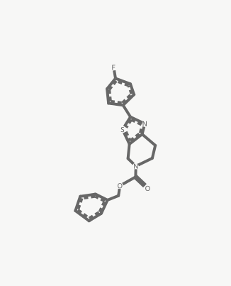 O=C(OCc1ccccc1)N1CCc2nc(-c3ccc(F)cc3)sc2C1